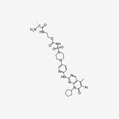 CC(=O)c1c(C)c2cnc(Nc3ccc(N4CCN(S(=O)(=O)NC(=O)OCCNC(=O)[C@@H](C)N)CC4)cn3)nc2n(C2CCCC2)c1=O